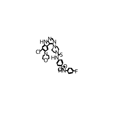 O=S(=O)(Nc1ccc(F)cc1)c1ccc(NC(=S)N2CCN(c3ncnc4[nH]c5cc(Cl)c(N6CCOCC6)cc5c34)CC2)cc1